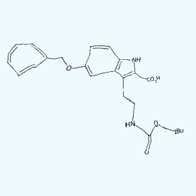 CC(C)(C)OC(=O)NCCc1c(C(=O)O)[nH]c2ccc(OCc3ccccc3)cc12